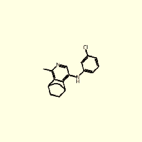 Cc1ncc(Nc2cccc(Cl)c2)c2c1C1CCC2CC1